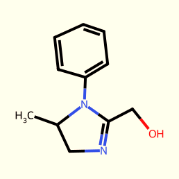 CC1CN=C(CO)N1c1ccccc1